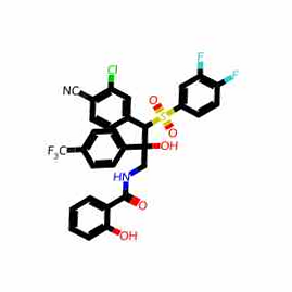 N#Cc1ccc(C(C(O)(CNC(=O)c2ccccc2O)c2ccc(C(F)(F)F)cc2)S(=O)(=O)c2ccc(F)c(F)c2)cc1Cl